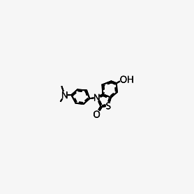 CN(C)c1ccc(-n2c(=O)sc3cc(O)ccc32)cc1